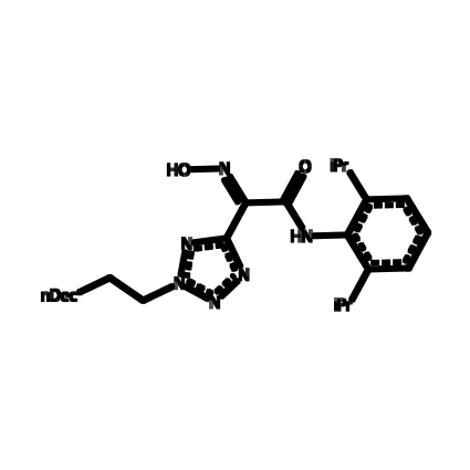 CCCCCCCCCCCCn1nnc(/C(=N\O)C(=O)Nc2c(C(C)C)cccc2C(C)C)n1